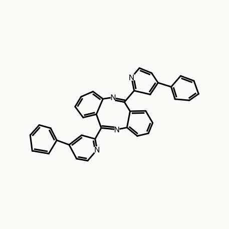 c1ccc(-c2ccnc(/C3=N/c4ccccc4/C(c4cc(-c5ccccc5)ccn4)=N\c4ccccc43)c2)cc1